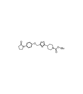 CC(C)(C)OC(=O)N1CCC(c2nc(COc3ccc(N4CCCC4=O)cc3)cs2)CC1